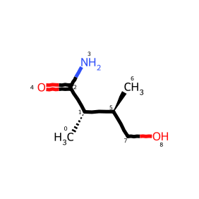 C[C@H](C(N)=O)[C@@H](C)CO